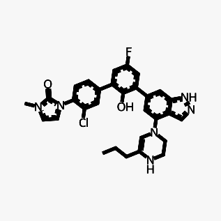 CCCC1=CN(c2cc(-c3cc(F)cc(-c4ccc(-n5ccn(C)c5=O)c(Cl)c4)c3O)cc3[nH]ncc23)CCN1